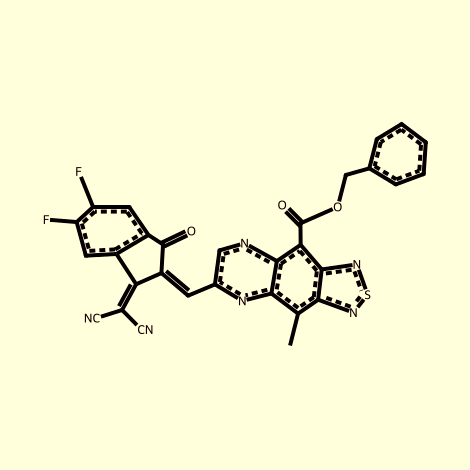 Cc1c2nc(/C=C3\C(=O)c4cc(F)c(F)cc4C3=C(C#N)C#N)cnc2c(C(=O)OCc2ccccc2)c2nsnc12